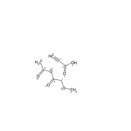 C#CC(=O)O.COCC(=O)OC(C)=O